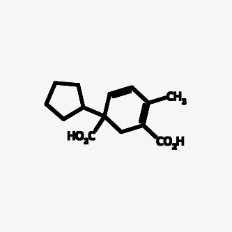 CC1=C(C(=O)O)CC(C(=O)O)(C2CCCC2)C=C1